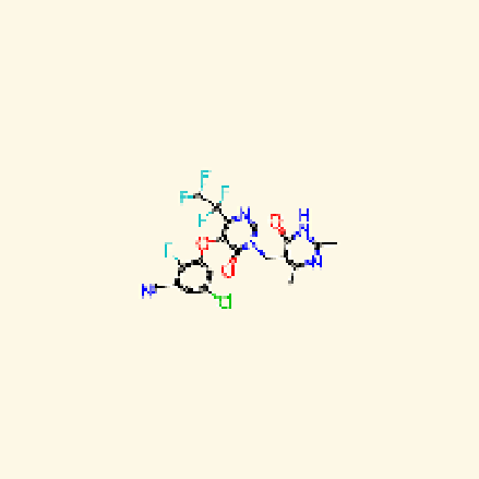 Cc1nc(C)c(Cn2cnc(C(F)(F)C(F)F)c(Oc3cc(Cl)cc(C#N)c3F)c2=O)c(=O)[nH]1